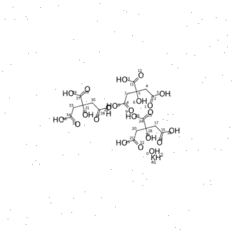 O.O=C(O)CC(O)(CC(=O)O)C(=O)O.O=C(O)CC(O)(CC(=O)O)C(=O)O.O=C(O)CC(O)(CC(=O)O)C(=O)O.[KH]